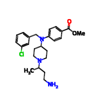 COC(=O)c1ccc(N(Cc2cccc(Cl)c2)C2CCN(C(C)CCN)CC2)cc1